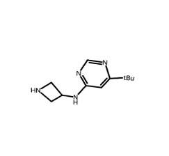 CC(C)(C)c1cc(NC2CNC2)ncn1